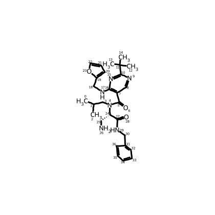 CC(C)CN(C(=O)c1cnc(C(C)(C)C)nc1NCc1ccco1)[C@@H](CN)C(=O)NCc1ccccc1